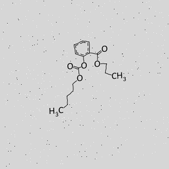 CCCCCOC(=O)Oc1ccccc1C(=O)OCCC